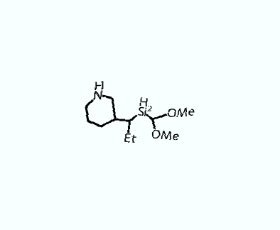 CCC([SiH2]C(OC)OC)C1CCCNC1